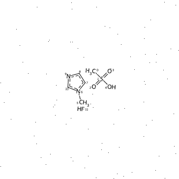 CS(=O)(=O)O.Cn1ccnc1.F